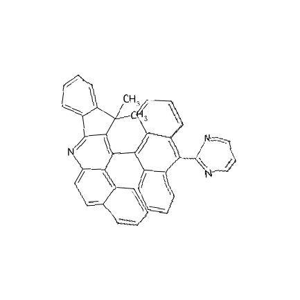 CC1(C)c2ccccc2-c2nc3ccc4ccccc4c3c(-c3c4ccccc4c(-c4ncccn4)c4ccccc34)c21